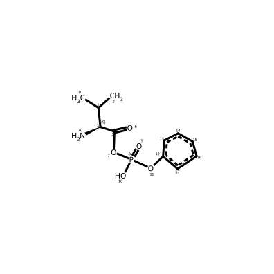 CC(C)[C@H](N)C(=O)OP(=O)(O)Oc1ccccc1